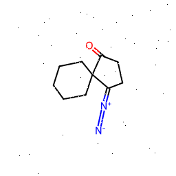 [N-]=[N+]=C1CCC(=O)C12CCCCC2